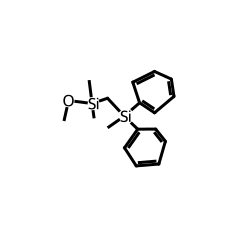 CO[Si](C)(C)C[Si](C)(c1ccccc1)c1ccccc1